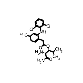 CC1C=C(Nc2c(Cl)cccc2Cl)C(CC(=O)O[C@H](C(C)C)[C@H](N)C(N)=O)=CC1